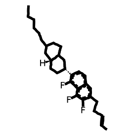 C/C=C/CCc1cc2ccc([C@@H]3CC[C@@H]4CC(CCCCCC)CCC4C3)c(F)c2c(F)c1F